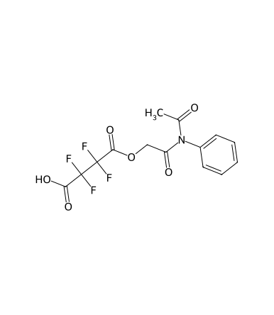 CC(=O)N(C(=O)COC(=O)C(F)(F)C(F)(F)C(=O)O)c1ccccc1